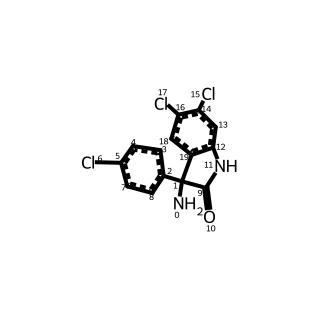 NC1(c2ccc(Cl)cc2)C(=O)Nc2cc(Cl)c(Cl)cc21